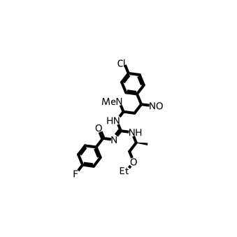 CCOC[C@H](C)N/C(=N/C(=O)c1ccc(F)cc1)NC(CC(N=O)c1ccc(Cl)cc1)NC